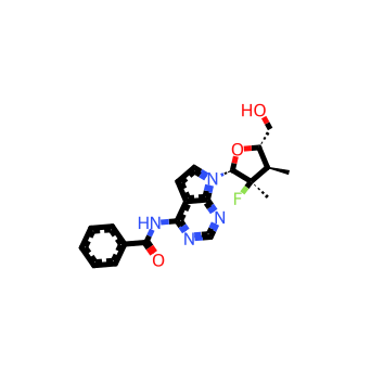 C[C@@H]1[C@@H](CO)O[C@@H](n2ccc3c(NC(=O)c4ccccc4)ncnc32)[C@]1(C)F